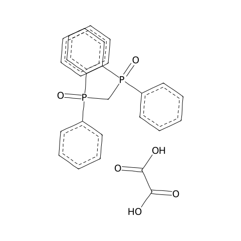 O=C(O)C(=O)O.O=P(CP(=O)(c1ccccc1)c1ccccc1)(c1ccccc1)c1ccccc1